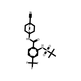 CC(C)(C)S(=O)(=O)Nc1cc(C(F)(F)F)ccc1C(=O)NC12CCC(C#N)(CC1)CC2